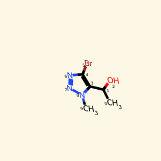 CC(O)c1c(Br)nnn1C